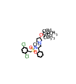 CN(C(CN1CCC(O[Si](C)(C)C(C)(C)C)C1)c1ccccc1)S(=O)(=O)Cc1cc(Cl)ccc1Cl